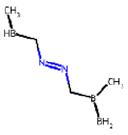 BB(C)CN=NCBC